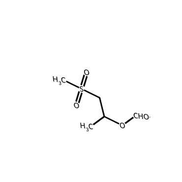 CC(CS(C)(=O)=O)O[C]=O